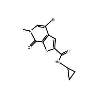 Cn1cc(Br)c2cc(C(=O)NC3CC3)sc2c1=O